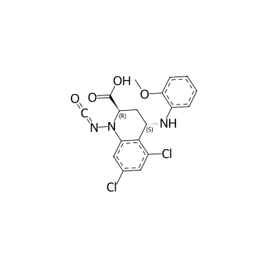 COc1ccccc1N[C@H]1C[C@H](C(=O)O)N(N=C=O)c2cc(Cl)cc(Cl)c21